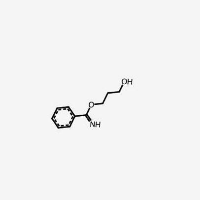 N=C(OCCCO)c1ccccc1